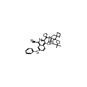 CC(C)(C)OC(=O)C1(CNC(=O)c2nc(C#N)c3cc(Sc4ccccc4)ccc3c2O)CCC1